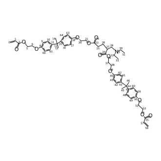 C=CC(=O)OCCOc1ccc(C(C)(C)c2ccc(OCCOC(=O)CCC(CN(CC)CC)C(=O)OCCOc3ccc(C(C)(C)c4ccc(OCCOC(=O)C=C)cc4)cc3)cc2)cc1